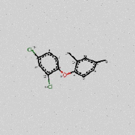 Cc1ccc(Oc2ccc(Cl)cc2Cl)c(C)c1